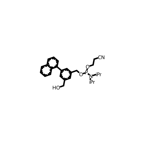 CC(C)N(C(C)C)P(OCCC#N)OCc1cc(CO)cc(-c2cccc3ccccc23)c1